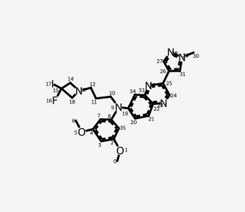 COc1cc(OC)cc(N(CCCN2CC(F)(I)C2)c2ccc3ncc(-c4cnn(C)c4)nc3c2)c1